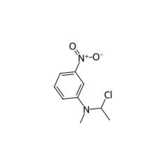 CC(Cl)N(C)c1cccc([N+](=O)[O-])c1